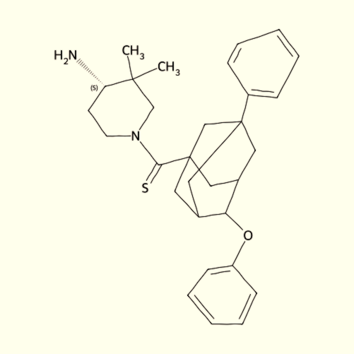 CC1(C)CN(C(=S)C23CC4CC(c5ccccc5)(CC(C2)C4Oc2ccccc2)C3)CC[C@@H]1N